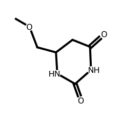 COCC1CC(=O)NC(=O)N1